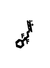 [N-]=[N+]=NCCC(F)(F)c1ccccc1